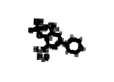 CC1=CC(N2CCOCC2)=NC(N)N1OS(=O)(=O)O.O